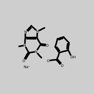 Cn1c(=O)c2c(ncn2C)n(C)c1=O.O=C([O-])c1ccccc1O.[Na+]